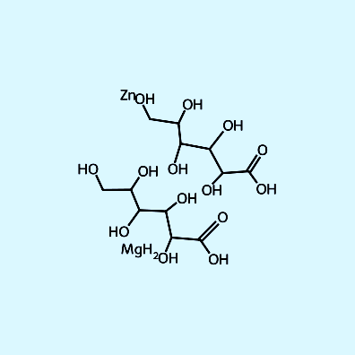 O=C(O)C(O)C(O)C(O)C(O)CO.O=C(O)C(O)C(O)C(O)C(O)CO.[MgH2].[Zn]